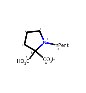 CCCCCN1CCCC1(C(=O)O)C(=O)O